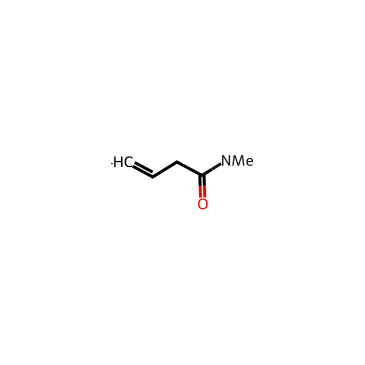 [CH]=CCC(=O)NC